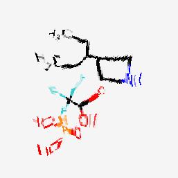 CCC(CC)C1CCNCC1.O=C(O)C(F)(F)F.O=[PH](O)O